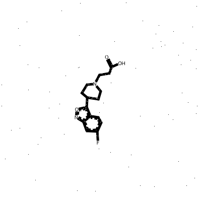 O=C(O)CCN1CCC(c2onc3cc(F)ccc23)CC1